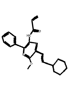 C=CC(=O)Nc1cc(/C=C/C2CCCCC2)c(OC)nc1-c1ccccc1